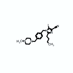 CCCCc1nc(C#N)c(I)n1Cc1ccc(CN2CCN(C)CC2)cc1